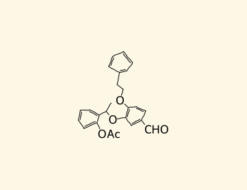 CC(=O)Oc1ccccc1C(C)Oc1cc(C=O)ccc1OCCc1ccccc1